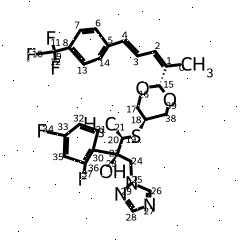 CC(=CC=Cc1ccc(C(F)(F)F)cc1)[C@H]1OC[C@H](S[C@H](C)[C@](O)(Cn2cncn2)c2ccc(F)cc2F)CO1